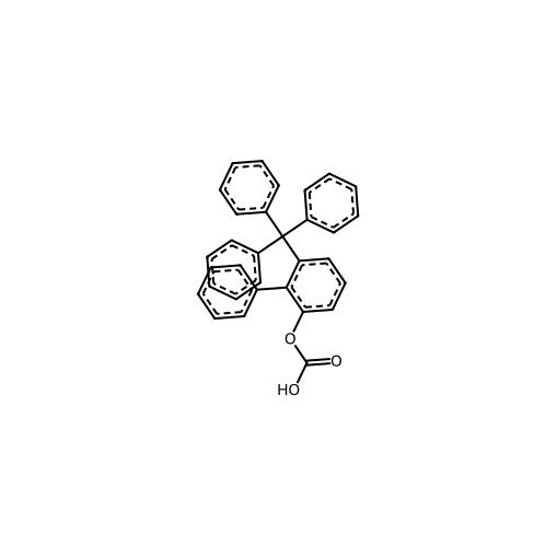 O=C(O)Oc1cccc(C(c2ccccc2)(c2ccccc2)c2ccccc2)c1-c1ccccc1